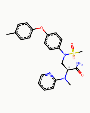 Cc1ccc(Oc2ccc(N(C[C@@H](C(N)=O)N(C)c3ccccn3)S(C)(=O)=O)cc2)cc1